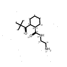 CC(C)(C)C(=O)C1CCCC[C@H]1C(=O)NCCN